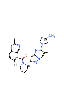 Cc1cc2ccc(Cl)c(C(=O)N3CCCC[C@H]3c3cc4nc(N5CC[C@H](N)C5)c(C)cn4n3)c2cn1